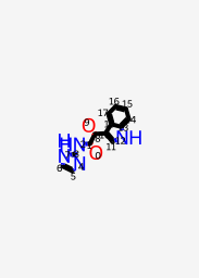 O=C(Nc1ncc[nH]1)C(=O)c1c[nH]c2ccccc12